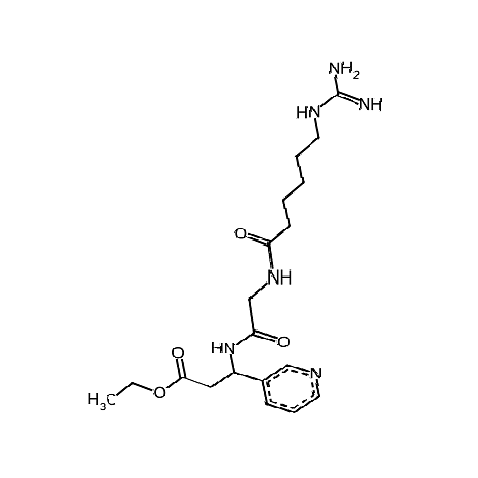 CCOC(=O)CC(NC(=O)CNC(=O)CCCCCNC(=N)N)c1cccnc1